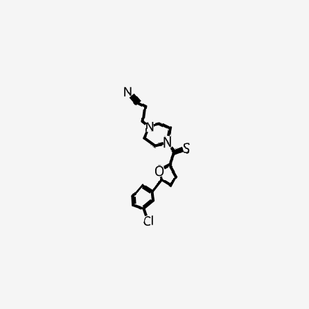 N#CCCN1CCN(C(=S)C2CCC(c3cccc(Cl)c3)O2)CC1